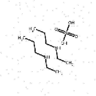 CCCNCC.CCCNCC.O=S(=O)(O)O